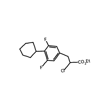 CCOC(=O)C(Cl)Cc1cc(F)c(C2CCCCC2)c(F)c1